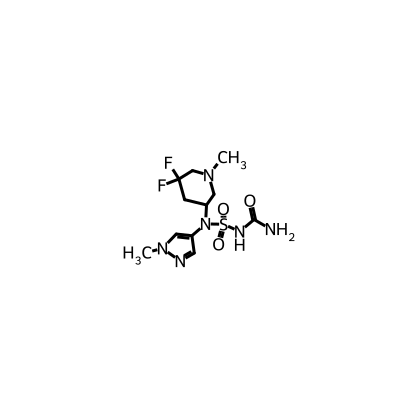 CN1CC(N(c2cnn(C)c2)S(=O)(=O)NC(N)=O)CC(F)(F)C1